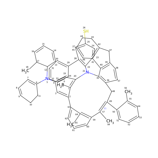 Bc1c2cc(N(C3=CC=CCC3)C3C=CC=CC3C)cc1N(c1ccc(S)cc1-c1ccccc1)c1c(ccc3c1C1=C(CCC=C1)C3)C/C(c1ccccc1C)=C(/C)c1cccc-2c1C